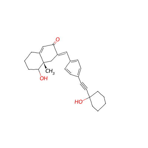 C[C@]12C/C(=C\c3ccc(C#CC4(O)CCCCC4)cc3)C(=O)C=C1CCCC2O